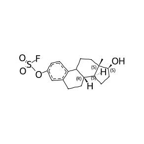 C[C@]12CCC3c4ccc(OS(=O)(=O)F)cc4CC[C@H]3[C@@H]1CC[C@@H]2O